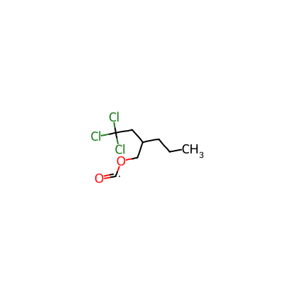 CCCC(CO[C]=O)CC(Cl)(Cl)Cl